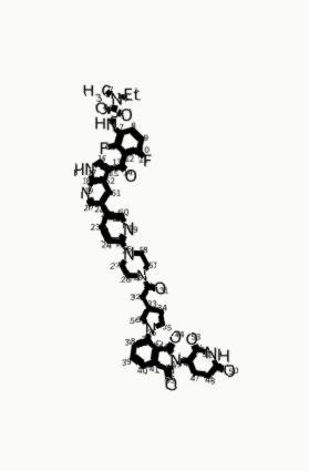 CCN(C)S(=O)(=O)Nc1ccc(F)c(C(=O)c2c[nH]c3ncc(-c4ccc(N5CCN(C(=O)CC6CCN(c7cccc8c7C(=O)N(C7CCC(=O)NC7=O)C8=O)C6)CC5)nc4)cc23)c1F